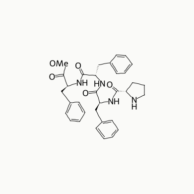 COC(=O)[C@H](Cc1ccccc1)NC(=O)[C@H](Cc1ccccc1)NC(=O)[C@H](Cc1ccccc1)NC(=O)[C@@H]1CCCN1